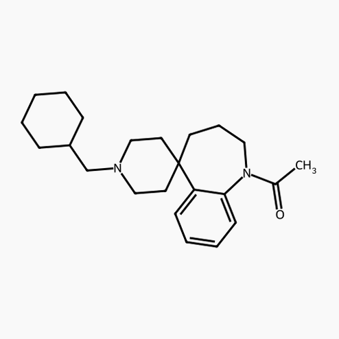 CC(=O)N1CCCC2(CCN(CC3CCCCC3)CC2)c2ccccc21